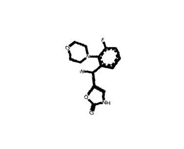 [N]C(c1cccc(F)c1N1CCOCC1)C1CNC(=O)O1